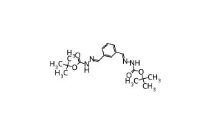 CC(C)(C)OC(=O)NN=Cc1cccc(C=NNC(=O)OC(C)(C)C)c1